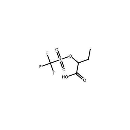 CCC(OS(=O)(=O)C(F)(F)F)C(=O)O